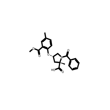 COC(=O)c1cc(C)ccc1O[C@@H]1CN(C(=O)c2ccccc2)[C@](C)(C(=O)O)C1